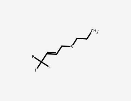 [CH2]CCSCC=CC(F)(F)F